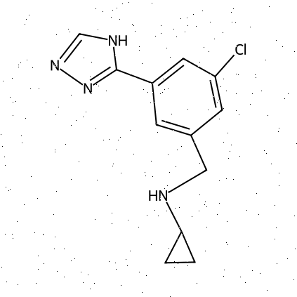 Clc1cc(CNC2CC2)cc(-c2nnc[nH]2)c1